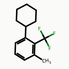 Cc1cccc(C2CCCCC2)c1C(F)(F)F